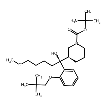 COCCCC[C@@](O)(c1ccccc1OCC(C)(C)C)[C@@H]1CCCN(C(=O)OC(C)(C)C)C1